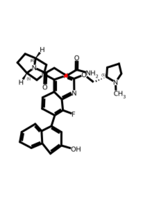 CN1CCC[C@H]1COc1nc(N2C[C@H]3CC[C@@H](C2)N3C(=O)CCC(N)=O)c2ccc(-c3cc(O)cc4ccccc34)c(F)c2n1